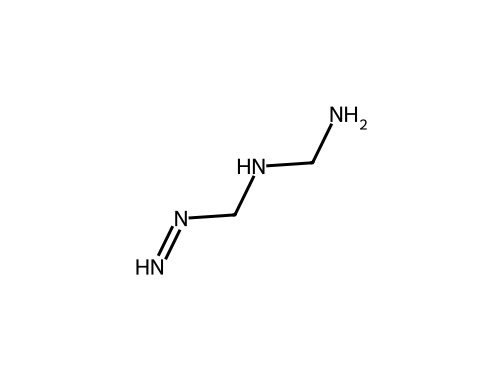 N=NCNCN